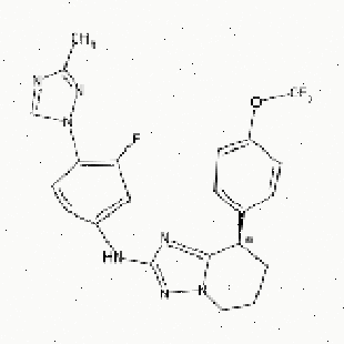 Cc1ncn(-c2ccc(Nc3nc4n(n3)CCC[C@@H]4c3ccc(OC(F)(F)F)cc3)cc2F)n1